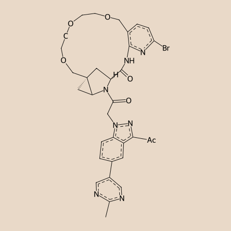 CC(=O)c1nn(CC(=O)N2C3C[C@@]34COCCOCCOCc3ccc(Br)nc3NC(=O)[C@@H]2C4)c2ccc(-c3cnc(C)nc3)cc12